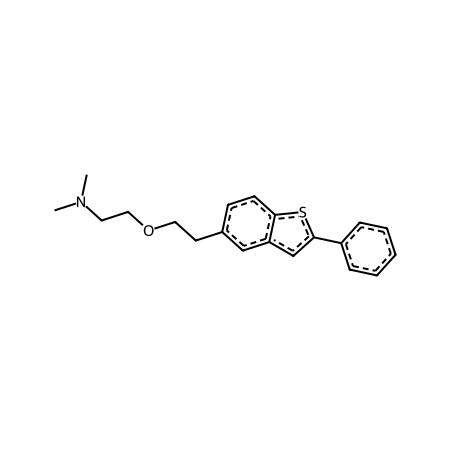 CN(C)CCOCCc1ccc2sc(-c3ccccc3)cc2c1